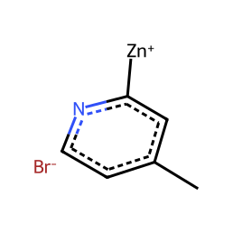 Cc1ccn[c]([Zn+])c1.[Br-]